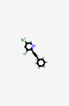 Fc1cc(Br)cnc1C#Cc1ccccc1